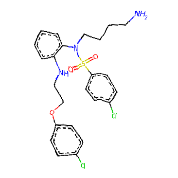 NCCCCN(c1ccccc1NCCOc1ccc(Cl)cc1)S(=O)(=O)c1ccc(Cl)cc1